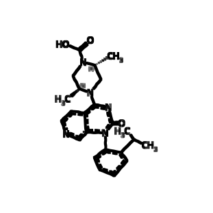 CC(C)c1ccccc1-n1c(=O)nc(N2C[C@@H](C)N(C(=O)O)C[C@@H]2C)c2ccncc21